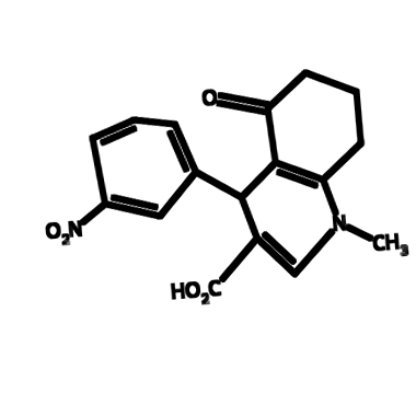 CN1C=C(C(=O)O)C(c2cccc([N+](=O)[O-])c2)C2=C1CCCC2=O